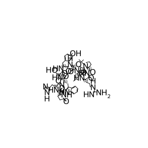 CCN1CCC[C@H]1C(=O)NC(=O)[C@H](CCCNC(=N)N)NC(=O)[C@H](CC(C)C)NC(=O)[C@@H](COC(C)(C)C)NC(=O)[C@H](Cc1ccc(O)cc1)NC(=O)[C@H](CO)NC(=O)[C@H](Cc1c[nH]c2ccccc12)NC(=O)[C@H](Cc1c[nH]cn1)NC(=O)[C@@H]1CCC(=O)N1